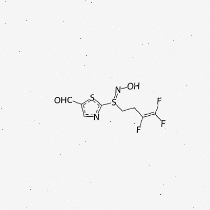 O=Cc1cnc(S(CCC(F)=C(F)F)=NO)s1